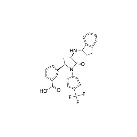 O=C(O)c1cccc([C@H]2C[C@@H](N[C@H]3CCc4ccccc43)C(=O)N2c2ccc(C(F)(F)F)cc2)c1